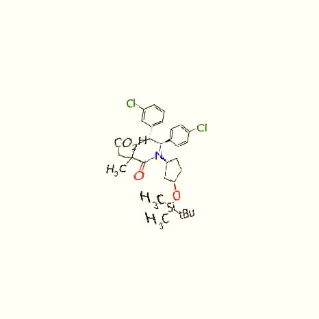 CC1(CC(=O)O)C[C@H](c2cccc(Cl)c2)[C@@H](c2ccc(Cl)cc2)N([C@H]2CC[C@@H](O[Si](C)(C)C(C)(C)C)C2)C1=O